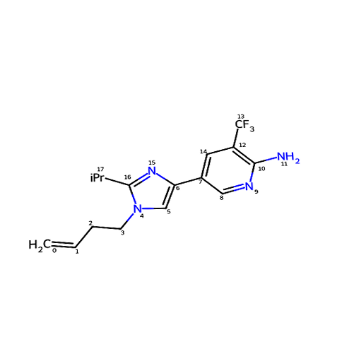 C=CCCn1cc(-c2cnc(N)c(C(F)(F)F)c2)nc1C(C)C